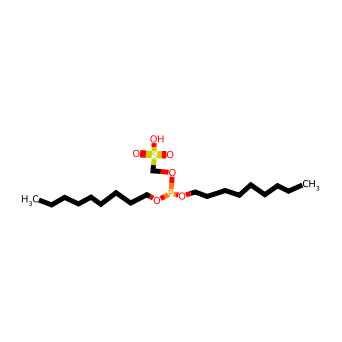 CCCCCCCCCOP(OCCCCCCCCC)OCS(=O)(=O)O